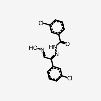 O=C(N/N=C(\C=N\O)c1cccc(Cl)c1)c1cccc(Cl)c1